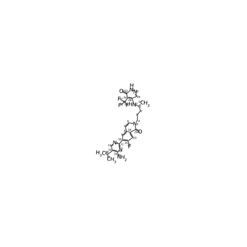 CC(CCCn1ccc2cc(-c3ncc(C(C)C)c(N)n3)c(F)cc2c1=O)Nc1cn[nH]c(=O)c1C(F)(F)F